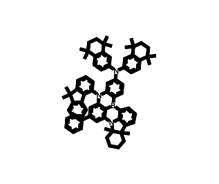 CC1(C)CCC(C)(C)c2cc(N(c3ccc4c(c3)N(c3cccc5c3-c3ccccc3C5(C)C)c3cc(-c5ccccc5)cc5c3B4c3cccc4c3N5C3(C)CCCCC43C)c3ccc4c(c3)C(C)(C)CCC4(C)C)ccc21